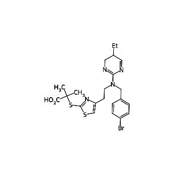 CCC1C=NC(N(CCc2csc(SC(C)(C)C(=O)O)n2)Cc2ccc(Br)cc2)=NC1